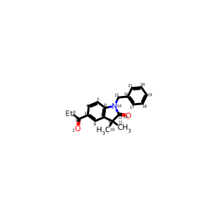 CCC(=O)c1ccc2c(c1)C(C)(C)C(=O)N2Cc1ccccc1